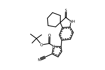 CC(C)(C)OC(=O)n1c(C#N)ccc1-c1ccc2c(c1)C1(CCCCC1)C(=S)N2